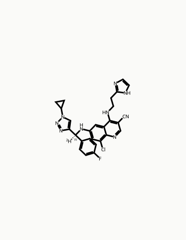 [2H][C@](Nc1cc(Cl)c2ncc(C#N)c(NCCc3ncc[nH]3)c2c1)(c1ccc(F)cc1)c1cn(C2CC2)nn1